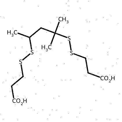 CC(CC(C)(C)SSCCC(=O)O)SSCCC(=O)O